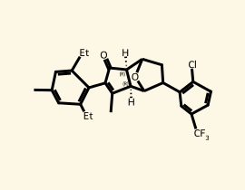 CCc1cc(C)cc(CC)c1C1=C(C)[C@@H]2C3OC(CC3c3cc(C(F)(F)F)ccc3Cl)[C@@H]2C1=O